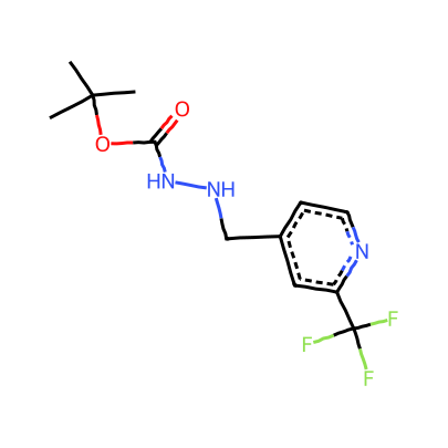 CC(C)(C)OC(=O)NNCc1ccnc(C(F)(F)F)c1